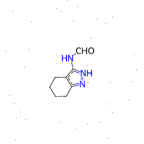 O=CNc1[nH]nc2c1CCCC2